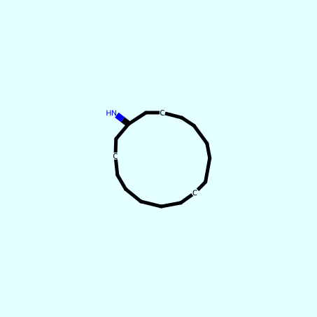 N=C1CCCCCCCCCCCCCCC1